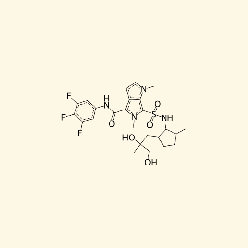 CC1CCC(CC(C)(O)CO)C1NS(=O)(=O)c1c2c(ccn2C)c(C(=O)Nc2cc(F)c(F)c(F)c2)n1C